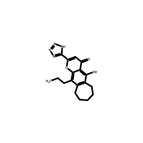 CCCc1c2c(c(O)c3c(=O)cc(-c4nnn[nH]4)oc13)CCCCC2